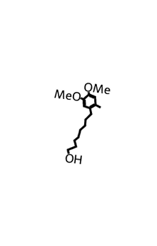 COc1cc(C)c(CCCCCCCCO)cc1OC